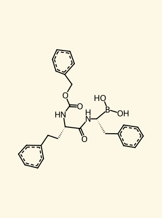 O=C(N[C@@H](CCc1ccccc1)C(=O)N[C@@H](Cc1ccccc1)B(O)O)OCc1ccccc1